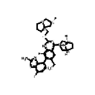 CCc1cc2c(N3C[C@H]4CC[C@@H](C3)N4)nc(OC[C@@]34CCCN3C[C@H](F)C4)nc2c(F)c1-c1ccc(F)c2sc(N)nc12